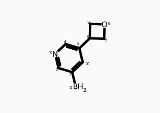 Bc1cncc(C2COC2)c1